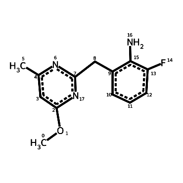 COc1cc(C)nc(Cc2cccc(F)c2N)n1